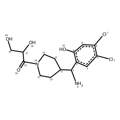 NC(c1cc(Cl)c(Cl)cc1O)C1CCN(C(=O)C(O)CO)CC1